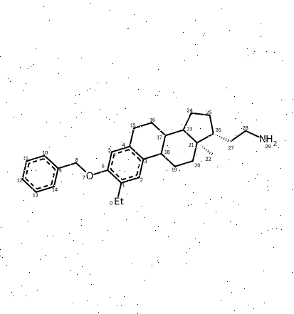 CCc1cc2c(cc1OCc1ccccc1)CCC1C2CC[C@@]2(C)C1CC[C@@H]2CCN